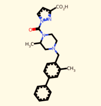 Cc1cc(-c2ccccc2)ccc1CN1CCN(C(=O)n2ccc(C(=O)O)n2)C(C)C1